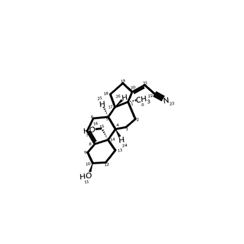 C[C@]12CC[C@H]3[C@@H](CC=C4C[C@H](O)CC[C@@]43CO)[C@@H]1CC/C2=C/C#N